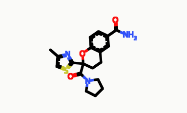 Cc1csc(C2(C(=O)N3CCCC3)CCc3cc(C(N)=O)ccc3O2)n1